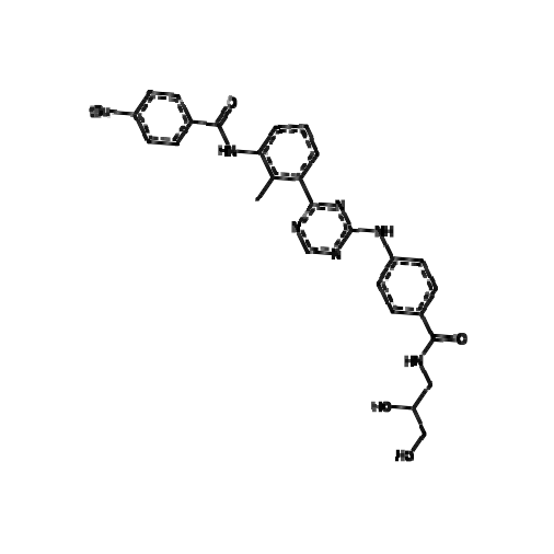 Cc1c(NC(=O)c2ccc(C(C)(C)C)cc2)cccc1-c1ncnc(Nc2ccc(C(=O)NCC(O)CO)cc2)n1